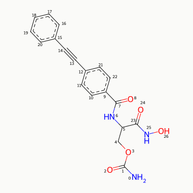 NC(=O)OCC(NC(=O)c1ccc(C#Cc2ccccc2)cc1)C(=O)NO